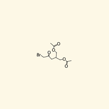 CC(=O)OCC(COC(C)=O)CC(=O)CBr